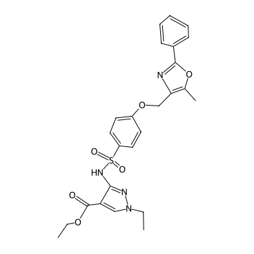 CCOC(=O)c1cn(CC)nc1NS(=O)(=O)c1ccc(OCc2nc(-c3ccccc3)oc2C)cc1